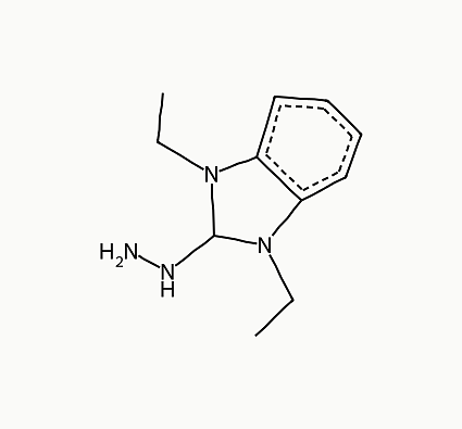 CCN1c2ccccc2N(CC)C1NN